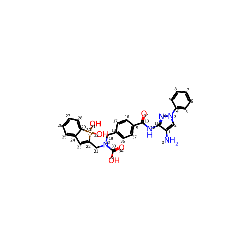 Nc1cn(-c2ccccc2)nc1NC(=O)c1ccc(CN(CC2=Cc3ccccc3S2(O)O)C(=O)O)cc1